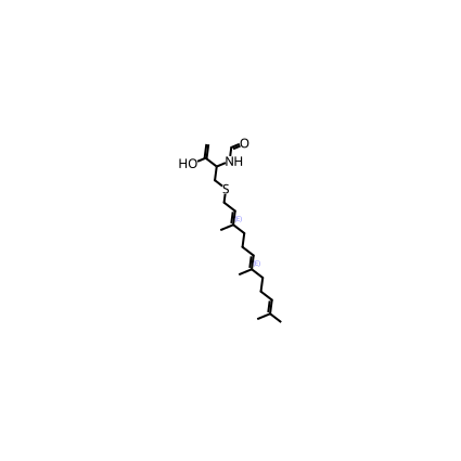 C=C(O)C(CSC/C=C(\C)CC/C=C(\C)CCC=C(C)C)NC=O